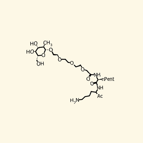 CCCCC[C@H](NC(=O)COCCOCCOCCO[C@@H]1O[C@H](CO)[C@H](O)[C@H](O)[C@H]1C)C(=O)NC(CCCCN)C(C)=O